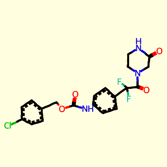 O=C1CN(C(=O)C(F)(F)c2ccc(NC(=O)OCc3ccc(Cl)cc3)cc2)CCN1